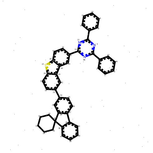 c1ccc(-c2nc(-c3ccccc3)nc(-c3ccc4sc5ccc(-c6ccc7c(c6)C6(CCCCC6)c6ccccc6-7)cc5c4c3)n2)cc1